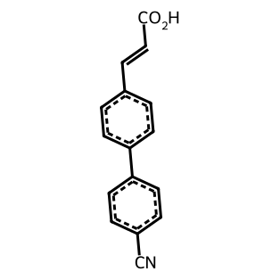 N#Cc1ccc(-c2ccc(C=CC(=O)O)cc2)cc1